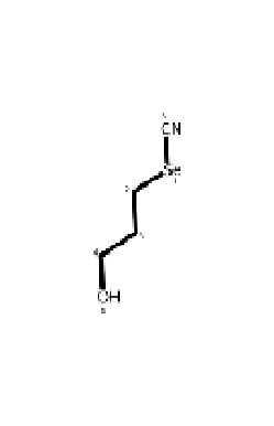 N#C[Se]CCCO